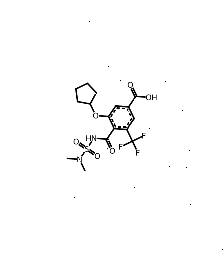 CN(C)S(=O)(=O)NC(=O)c1c(OC2CCCC2)cc(C(=O)O)cc1C(F)(F)F